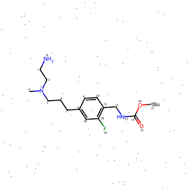 CN(CCN)CCCc1ccc(CNC(=O)OC(C)(C)C)c(F)c1